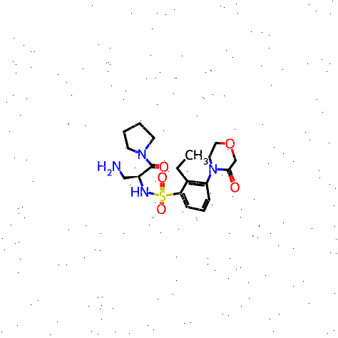 CCc1c(N2CCOCC2=O)cccc1S(=O)(=O)N[C@@H](CN)C(=O)N1CCCC1